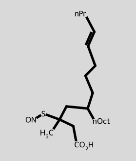 CCCC=CCCCC(CCCCCCCC)CC(C)(CC(=O)O)SN=O